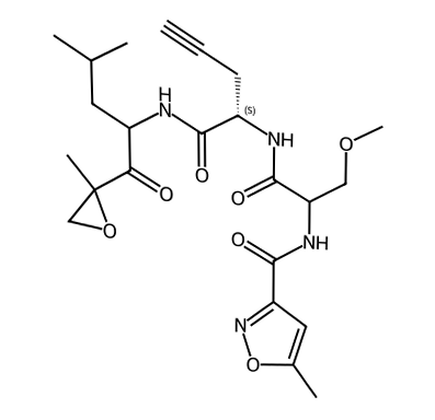 C#CC[C@H](NC(=O)C(COC)NC(=O)c1cc(C)on1)C(=O)NC(CC(C)C)C(=O)C1(C)CO1